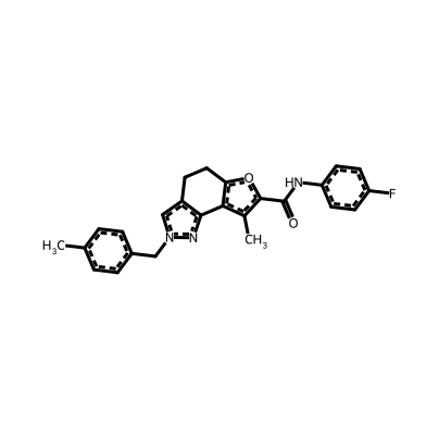 Cc1ccc(Cn2cc3c(n2)-c2c(oc(C(=O)Nc4ccc(F)cc4)c2C)CC3)cc1